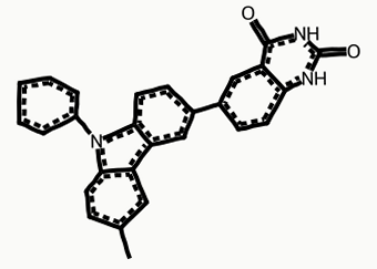 Cc1ccc2c(c1)c1cc(-c3ccc4[nH]c(=O)[nH]c(=O)c4c3)ccc1n2-c1ccccc1